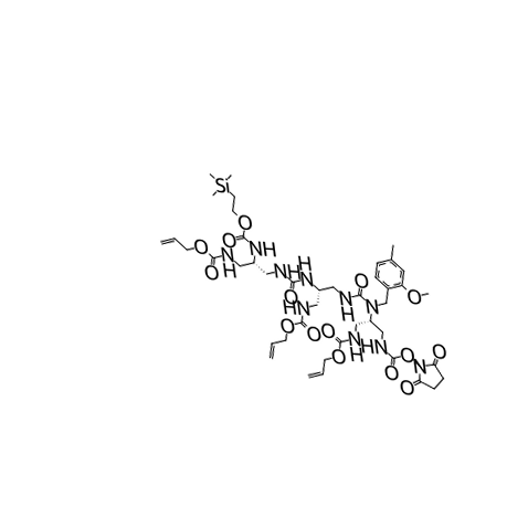 C=CCOC(=O)NC[C@@H](CNC(=O)N(Cc1ccc(C)cc1OC)[C@@H](CNC(=O)OCC=C)CNC(=O)ON1C(=O)CCC1=O)NC(=O)NC[C@H](CNC(=O)OCC=C)NC(=O)OCC[Si](C)(C)C